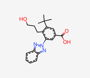 CC(C)(C)c1cc(C(=O)O)cc(-n2nc3ccccc3n2)c1CCCO